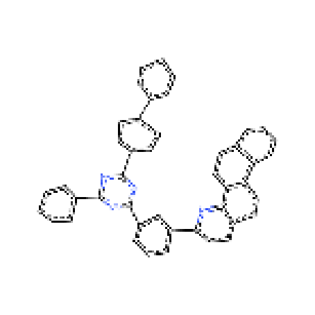 c1ccc(-c2ccc(-c3nc(-c4ccccc4)nc(-c4cccc(-c5ccc6ccc7c8ccccc8ccc7c6n5)c4)n3)cc2)cc1